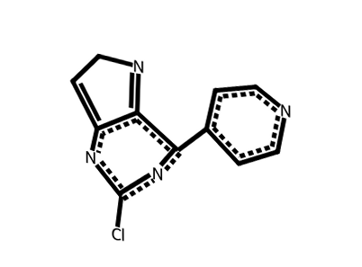 Clc1nc(-c2ccncc2)c2c(n1)=CCN=2